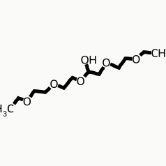 CCOCCOCCOC(O)COCCOCC